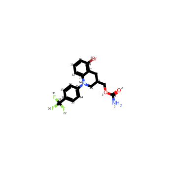 NC(=O)OCC1Cc2c(Br)cccc2N(c2ccc(C(F)(F)F)cc2)C1